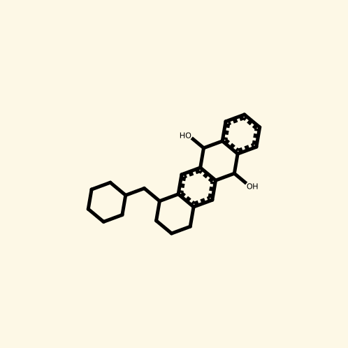 OC1c2ccccc2C(O)c2cc3c(cc21)CCCC3CC1CCCCC1